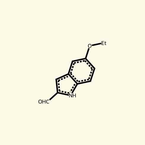 CCOc1ccc2[nH]c(C=O)cc2c1